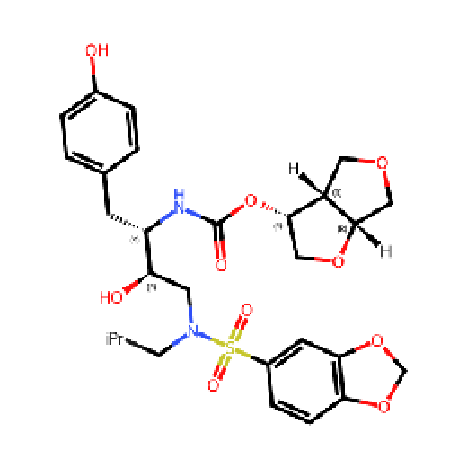 CC(C)CN(C[C@@H](O)[C@H](Cc1ccc(O)cc1)NC(=O)O[C@H]1CO[C@H]2COC[C@H]21)S(=O)(=O)c1ccc2c(c1)OCO2